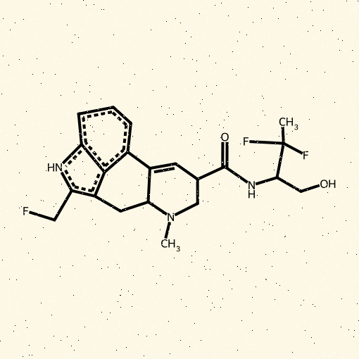 CN1CC(C(=O)NC(CO)C(C)(F)F)C=C2c3cccc4[nH]c(CF)c(c34)CC21